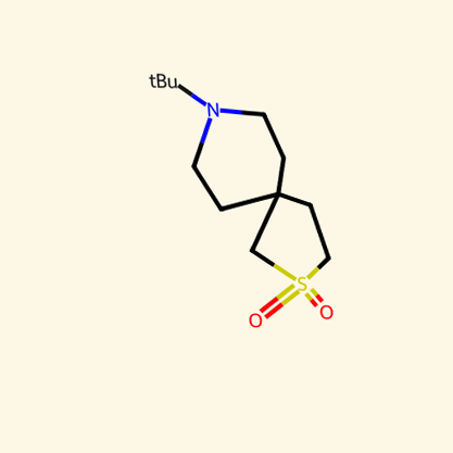 CC(C)(C)N1CCC2(CC1)CCS(=O)(=O)C2